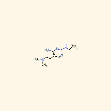 CCNc1ncc(CCN(C)C)c(N)n1